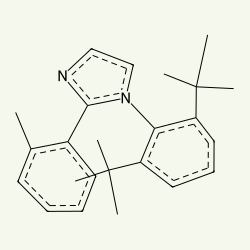 Cc1ccccc1-c1nccn1-c1c(C(C)(C)C)cccc1C(C)(C)C